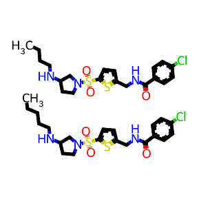 CCCCCNC1CCN(S(=O)(=O)c2ccc(CNC(=O)c3ccc(Cl)cc3)s2)C1.CCCCNC1CCN(S(=O)(=O)c2ccc(CNC(=O)c3ccc(Cl)cc3)s2)C1